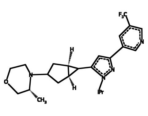 CC(C)n1nc(-c2cncc(C(F)(F)F)c2)cc1C1[C@H]2CC(N3CCOC[C@H]3C)C[C@@H]12